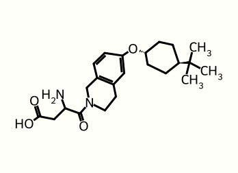 CC(C)(C)[C@H]1CC[C@H](Oc2ccc3c(c2)CCN(C(=O)C(N)CC(=O)O)C3)CC1